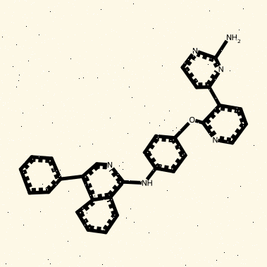 Nc1nccc(-c2cccnc2Oc2ccc(Nc3ncc(-c4ccccc4)c4ccccc34)cc2)n1